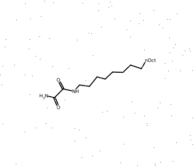 CCCCCCCCCCCCCCCCNC(=O)C(N)=O